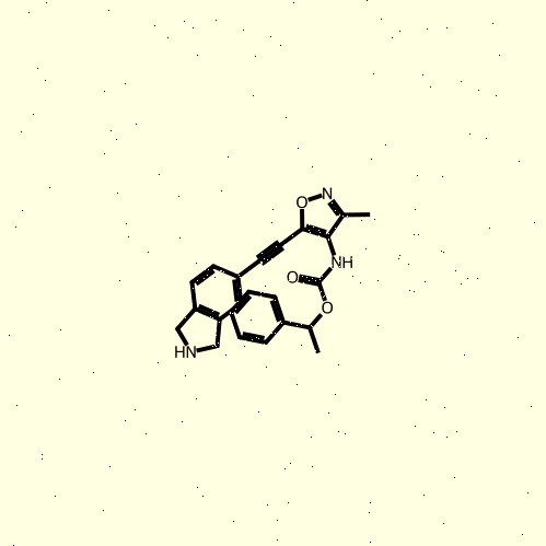 Cc1noc(C#Cc2ccc3c(c2)CNC3)c1NC(=O)OC(C)c1ccccc1